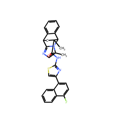 Cc1cnc2n1C1c3ccccc3C2CC1(C)C(=O)Nc1nc(-c2ccc(F)c3ccccc23)cs1